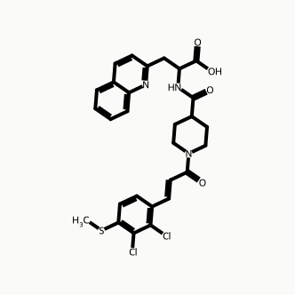 CSc1ccc(C=CC(=O)N2CCC(C(=O)NC(Cc3ccc4ccccc4n3)C(=O)O)CC2)c(Cl)c1Cl